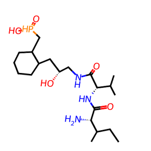 CCC(C)[C@H](N)C(=O)N[C@H](C(=O)NC[C@H](O)CC1CCCCC1C[PH](=O)O)C(C)C